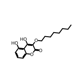 CCCCCCCCOc1c(O)c2c(O)cccc2oc1=O